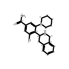 CCc1cc(C(N)=O)cc(N2CCCCC2)c1C1Cc2ccccc2CN1